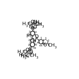 CC1CCc2cc(C3Oc4cc(B5OC(C)(C)C(C)(C)O5)cc(F)c4-c4cc5cc(B6OC(C)(C)C(C)(C)O6)ccc5n43)ccc2O1